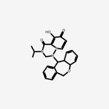 CC(C)N1CN(C2c3ccccc3COC3C=CC=CC32)n2ccc(=O)c(O)c2C1=O